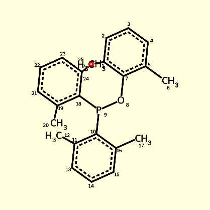 Cc1cccc(C)c1OP(c1c(C)cccc1C)c1c(C)cccc1C